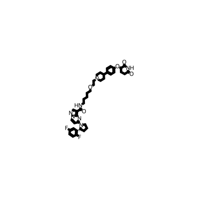 O=C1CCC(Oc2ccc(C3CCN(CCOCCCCCNC(=O)c4cnn5ccc(N6CCC[C@@H]6c6cc(F)ccc6F)nc45)CC3)cc2)C(=O)N1